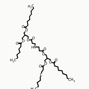 CCCCCCCCC(=O)OCC(COC(=O)CCCCCC)COC(=O)CCNCCC(=O)OCC(COC(=O)CCCCCCCC)COC(=O)CCCCCCCC